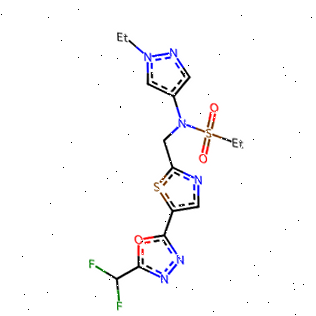 CCn1cc(N(Cc2ncc(-c3nnc(C(F)F)o3)s2)S(=O)(=O)CC)cn1